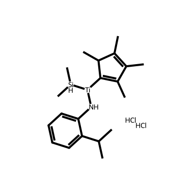 CC1=C(C)C(C)[C]([Ti]([NH]c2ccccc2C(C)C)[SiH](C)C)=C1C.Cl.Cl